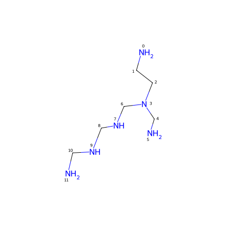 NCCN(CN)CNCNCN